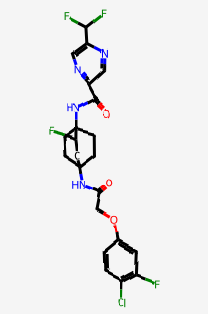 O=C(COc1ccc(Cl)c(F)c1)NC12CCC(NC(=O)c3cnc(C(F)F)cn3)(CC1)C(F)C2